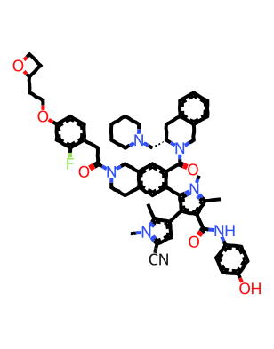 Cc1c(-c2c(C(=O)Nc3ccc(O)cc3)c(C)n(C)c2-c2cc3c(cc2C(=O)N2Cc4ccccc4C[C@H]2CN2CCCCC2)CN(C(=O)Cc2ccc(OCCC4CCO4)cc2F)CC3)cc(C#N)n1C